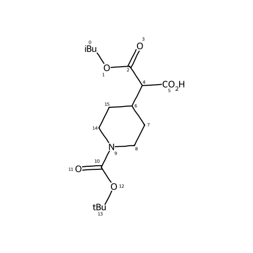 CCC(C)OC(=O)C(C(=O)O)C1CCN(C(=O)OC(C)(C)C)CC1